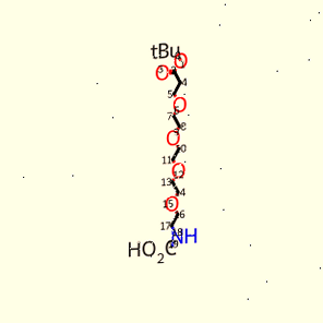 CC(C)(C)OC(=O)CCOCCOCCOCCOCCNC(=O)O